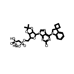 CC1(C)OC2C(COP(=O)(O)CP(=O)(O)O)OC(n3cnc4c(N5CC6(CCC6)c6ccccc65)nc(Cl)nc43)C2O1